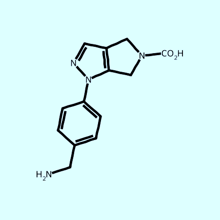 NCc1ccc(-n2ncc3c2CN(C(=O)O)C3)cc1